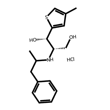 Cc1csc([C@@H](O)[C@H](CO)NC(C)Cc2ccccc2)c1.Cl